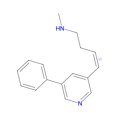 CNCC/C=C\c1cncc(-c2ccccc2)c1